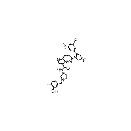 CSc1cc(F)cc([C@H]2C[C@H](F)CN2c2ccc3ncc(C(=O)N[C@H]4CCN(Cc5ccc(F)c(O)c5)C4)n3n2)c1